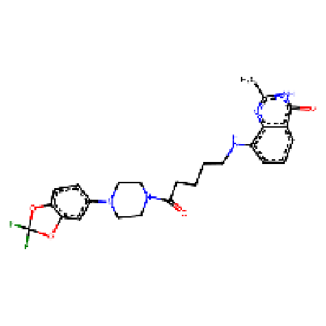 Cc1nc2c(NCCCCC(=O)N3CCN(c4ccc5c(c4)OC(F)(F)O5)CC3)cccc2c(=O)[nH]1